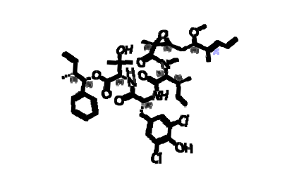 C=C/C=C(\C)[C@@H](C[C@@H]1O[C@@]1(C)C(=O)N(C)[C@H](C(=O)N[C@H](Cc1cc(Cl)c(O)c(Cl)c1)C(=O)N[C@H](C(=O)O[C@H](c1ccccc1)[C@H](C)C=C)C(C)(C)O)[C@@H](C)CC)OC